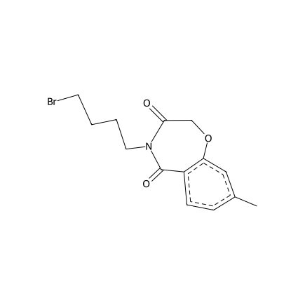 Cc1ccc2c(c1)OCC(=O)N(CCCCBr)C2=O